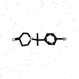 CC(C)(c1ccc(Br)cc1)N1CCC(=O)CC1